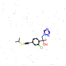 CC(C)SC#Cc1ccc(C(C)(O)Cn2cncn2)c(Cl)c1